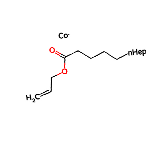 C=CCOC(=O)CCCCCCCCCCC.[Co]